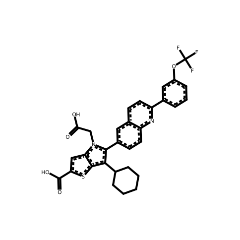 O=C(O)Cn1c(-c2ccc3nc(-c4cccc(OC(F)(F)F)c4)ccc3c2)c(C2CCCCC2)c2sc(C(=O)O)cc21